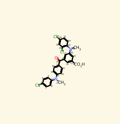 CN(c1ccc(Cl)cc1)c1ccc(C(=O)c2cc(C(=O)O)cc(N(C)c3ccc(Cl)cc3Cl)c2)cc1